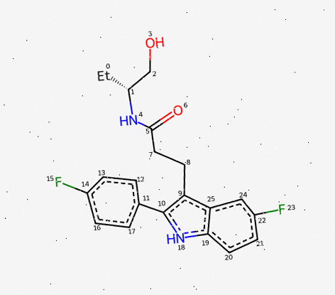 CC[C@H](CO)NC(=O)CCc1c(-c2ccc(F)cc2)[nH]c2ccc(F)cc12